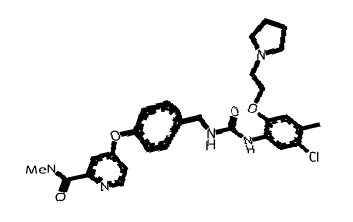 CNC(=O)c1cc(Oc2ccc(CNC(=O)Nc3cc(Cl)c(C)cc3OCCN3CCCC3)cc2)ccn1